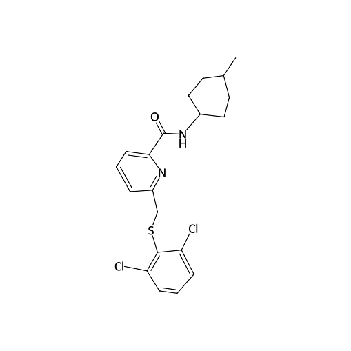 CC1CCC(NC(=O)c2cccc(CSc3c(Cl)cccc3Cl)n2)CC1